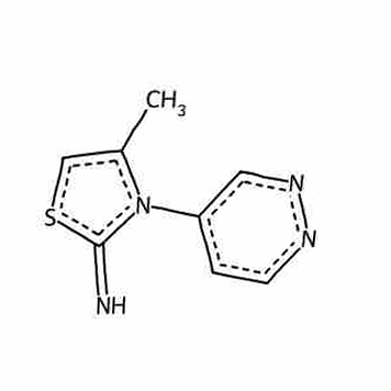 Cc1csc(=N)n1-c1ccnnc1